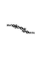 COc1ccc(S(=O)(=O)N2CCN(c3ccc(Nc4nccc(-c5ccc(NC(C)=O)cc5)n4)cc3)CC2)cc1